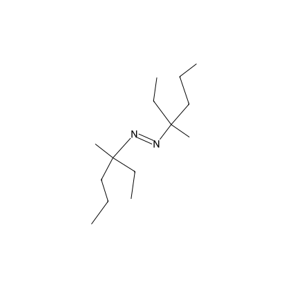 CCCC(C)(CC)/N=N/C(C)(CC)CCC